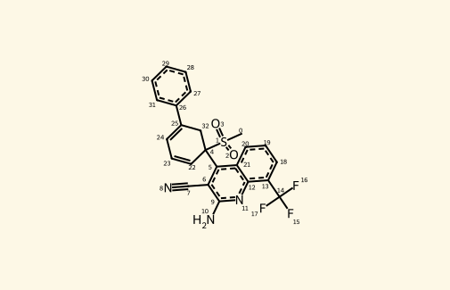 CS(=O)(=O)C1(c2c(C#N)c(N)nc3c(C(F)(F)F)cccc23)C=CC=C(c2ccccc2)C1